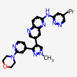 CC(C)c1cnnc(Nc2ccc3ncc(-c4cn(C)nc4-c4ccnc(N5CCOCC5)c4)cc3n2)c1